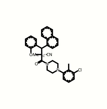 COc1ccccc1C(c1cccc2ccccc12)[C@@](C)(C#N)C(=O)N1CCN(c2cccc(Cl)c2C)CC1